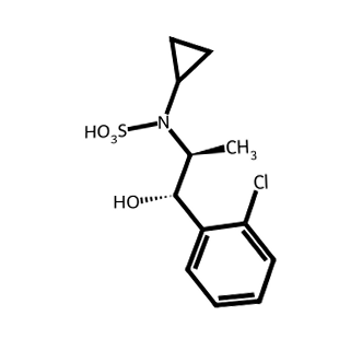 C[C@@H]([C@@H](O)c1ccccc1Cl)N(C1CC1)S(=O)(=O)O